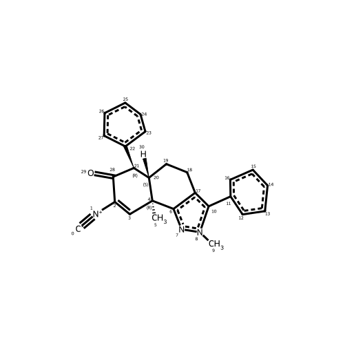 [C-]#[N+]C1=C[C@]2(C)c3nn(C)c(-c4ccccc4)c3CC[C@H]2[C@H](c2ccccc2)C1=O